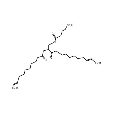 CCCCCCCCC=CCCCCCCCC(=O)CC(CNC(=O)CCCC(=O)O)C(=O)CCCCCCCC=CCCCCCCCC